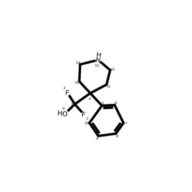 OC(F)(F)C1(c2ccccc2)CCNCC1